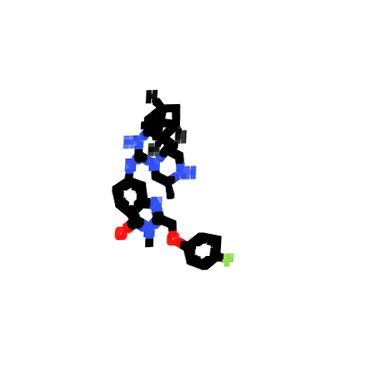 C[C@H]1CN(C(=Nc2ccc3c(=O)n(C)c(COc4ccc(F)cc4)nc3c2)NC2C[C@@H]3C[C@@H]([C@H]2C)C3(C)C)CCN1